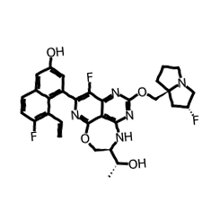 C=Cc1c(F)ccc2cc(O)cc(-c3nc4c5c(nc(OC[C@@]67CCCN6C[C@H](F)C7)nc5c3F)N[C@@H]([C@@H](C)O)CO4)c12